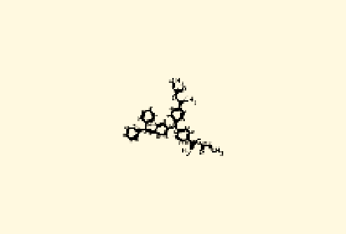 C=CC(=O)OC(=C)c1ccc(N(c2ccc(C=C(c3ccccc3)c3ccccc3)cc2)c2ccc(C(=C)OC(=O)C=C)cc2)cc1